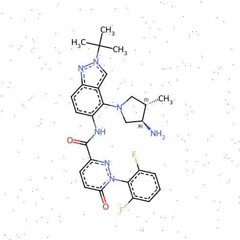 C[C@H]1CN(c2c(NC(=O)c3ccc(=O)n(-c4c(F)cccc4F)n3)ccc3nn(C(C)(C)C)cc23)C[C@@H]1N